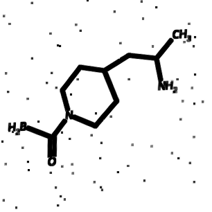 BC(=O)N1CCC(CC(C)N)CC1